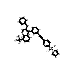 O=S(=O)(c1ccc(C#Cc2cccc(-c3c(Cc4ccccc4)cnc4c(C(F)(F)F)cccc34)c2)cc1)n1cccc1